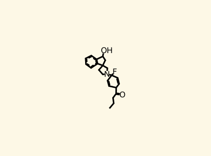 CCCC(=O)C1C=CC(F)(N2CCC3(CC(O)c4ccccc43)C2)C=C1